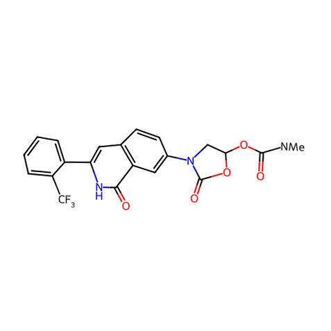 CNC(=O)OC1CN(c2ccc3cc(-c4ccccc4C(F)(F)F)[nH]c(=O)c3c2)C(=O)O1